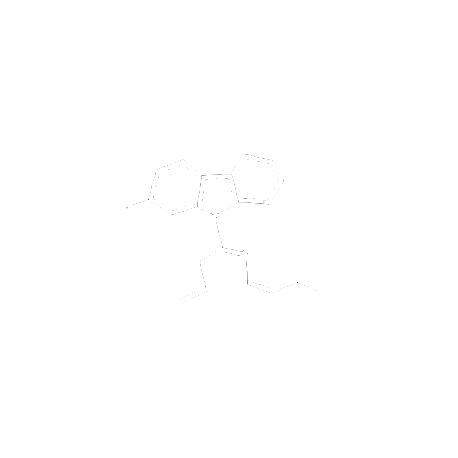 C=CC/C(=N\C=C/CC(C)(C)C)n1c2ccccc2c2ccc(Br)cc21